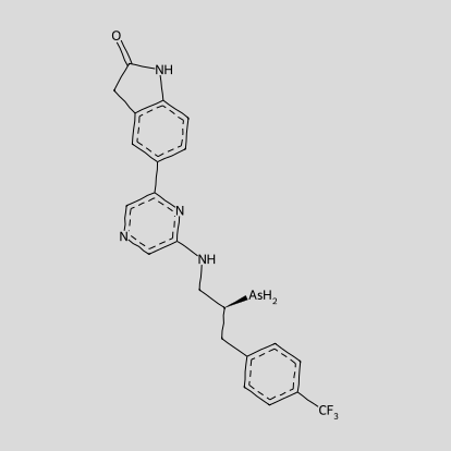 O=C1Cc2cc(-c3cncc(NC[C@@H]([AsH2])Cc4ccc(C(F)(F)F)cc4)n3)ccc2N1